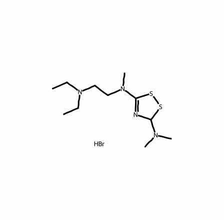 Br.CCN(CC)CCN(C)C1=NC(N(C)C)SS1